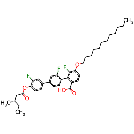 CCCCCCCCCCCCOc1ccc(C(=O)O)c(-c2ccc(-c3ccc(OC(=O)C[C@@H](C)CC)c(F)c3)cc2F)c1F